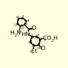 CCc1cc(NC(=O)c2ccccc2N)cc(C(=O)O)c1Cl